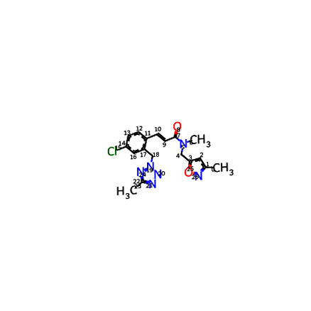 Cc1cc(CN(C)C(=O)C=Cc2ccc(Cl)cc2Cn2nnc(C)n2)on1